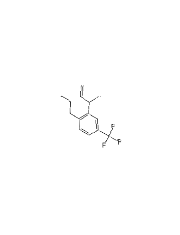 [CH2]C(C=C)c1cc(C(F)(F)F)ccc1CCC